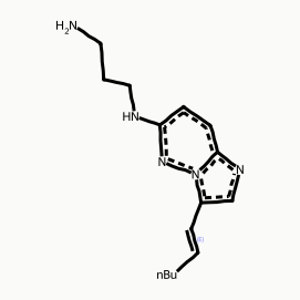 CCCC/C=C/c1cnc2ccc(NCCCN)nn12